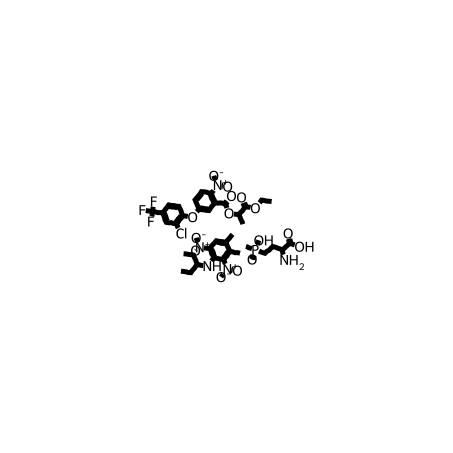 CCC(CC)Nc1c([N+](=O)[O-])cc(C)c(C)c1[N+](=O)[O-].CCOC(=O)C(C)OC(=O)c1cc(Oc2ccc(C(F)(F)F)cc2Cl)ccc1[N+](=O)[O-].CP(=O)(O)CCC(N)C(=O)O